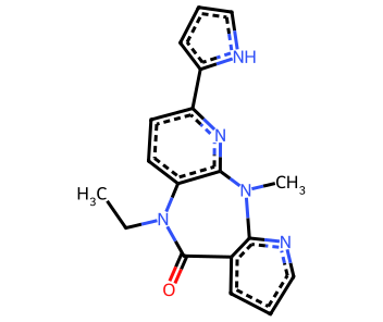 CCN1C(=O)c2cccnc2N(C)c2nc(-c3ccc[nH]3)ccc21